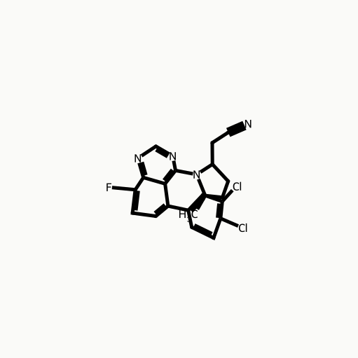 CC1CCC(CC#N)N1c1ncnc2c(F)ccc(-c3ccc(Cl)c(Cl)c3)c12